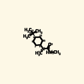 CNC(=O)N(C)[C@H]1CC[C@H](C(C)(C)C)CC1